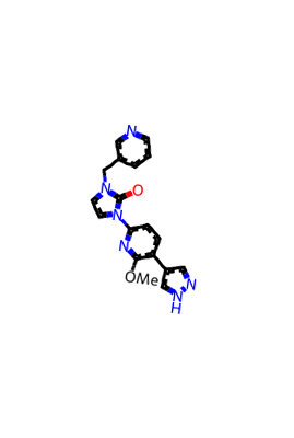 COc1nc(-n2ccn(Cc3cccnc3)c2=O)ccc1-c1cn[nH]c1